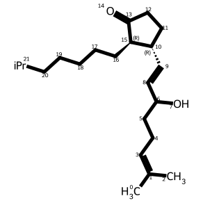 CC(C)=CCCC(O)C=C[C@H]1CCC(=O)[C@@H]1CCCCCC(C)C